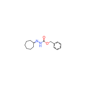 O=C(NN=C1CCCCCC1)OCc1ccccc1